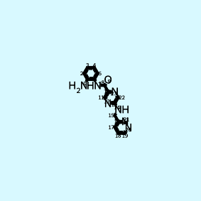 Nc1ccccc1NC(=O)c1cnc(NCc2cccnn2)cn1